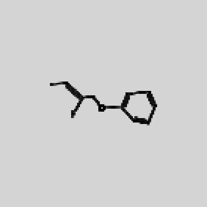 C/C=C(\F)COc1ccccc1